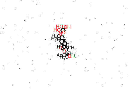 CC(=O)O[C@@H]([C@H]1C[C@@H](C)[C@H]2[C@H](O1)C(=O)[C@@]1(C)[C@@H]3CC[C@H]4C(C)(C)C(O[C@@H]5OC[C@@H](O)[C@H](O)[C@H]5O)CC[C@@]45CC35CC[C@]21C)C(C)(C)O